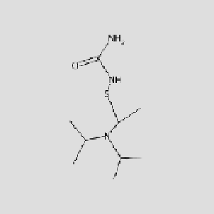 CC(C)N(C(C)C)C(C)SNC(N)=O